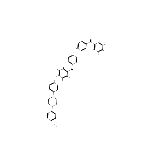 COc1ccc(C2CCC(c3ccc(Oc4c(F)c(F)c(C(=O)c5ccc(Oc6ccc(C(=O)c7c(F)c(F)c(C)c(F)c7F)cc6)cc5)c(F)c4F)cc3)CC2)cc1